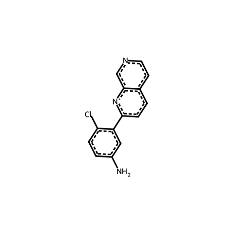 Nc1ccc(Cl)c(-c2ccc3ccncc3n2)c1